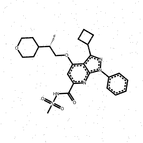 CS(=O)(=O)NC(=O)c1cc(OC[C@@H](F)C2CCOCC2)c2c(C3CCC3)nn(-c3ccccc3)c2n1